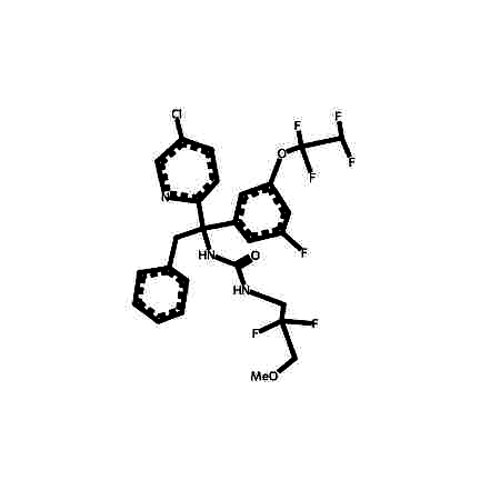 COCC(F)(F)CNC(=O)NC(Cc1ccccc1)(c1cc(F)cc(OC(F)(F)C(F)F)c1)c1ccc(Cl)cn1